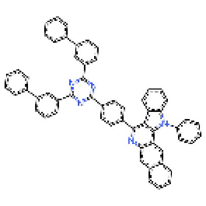 c1ccc(-c2cccc(-c3nc(-c4ccc(-c5nc6cc7ccccc7cc6c6c5c5ccccc5n6-c5ccccc5)cc4)nc(-c4cccc(-c5ccccc5)c4)n3)c2)cc1